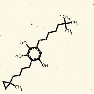 CC(C)(C)CCCCCc1cc(O)c(CCCCC2(C)CC2)c(O)c1O